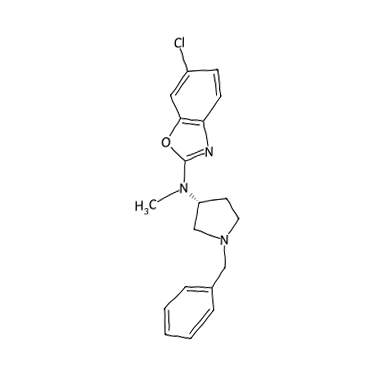 CN(c1nc2ccc(Cl)cc2o1)[C@@H]1CCN(Cc2ccccc2)C1